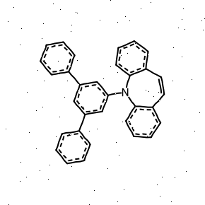 C1=Cc2ccccc2N(c2cc(-c3ccccc3)cc(-c3ccccc3)c2)c2ccccc21